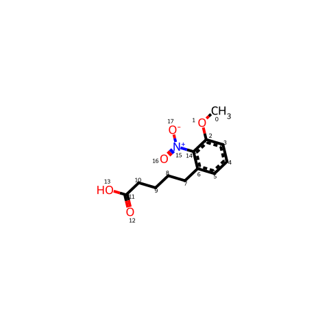 COc1cccc(CCCCC(=O)O)c1[N+](=O)[O-]